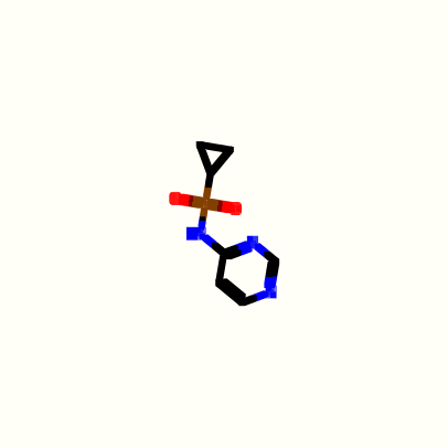 O=S(=O)(Nc1ccncn1)C1CC1